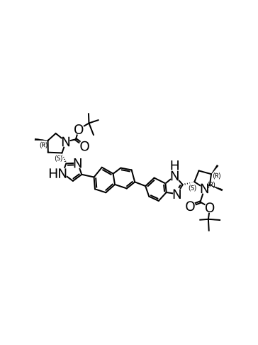 C[C@@H]1C[C@@H](c2nc(-c3ccc4cc(-c5ccc6nc([C@@H]7C[C@@H](C)[C@@H](C)N7C(=O)OC(C)(C)C)[nH]c6c5)ccc4c3)c[nH]2)N(C(=O)OC(C)(C)C)C1